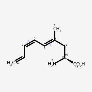 C=C/C=C\C=C(/C)C[C@H](N)C(=O)O